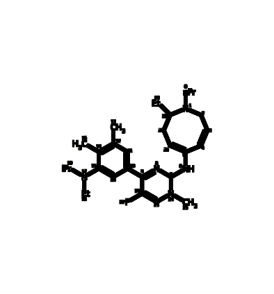 CCCN1C/C=C\C(NC2N=C(c3cc(C)c(C)c(N(CC)C(C)C)c3)C(F)=CN2C)=C/CC1CC